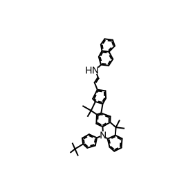 CC(C)(C)c1ccc(N2c3ccccc3C(C)(C)c3cc4c(cc32)C(C)(C)c2cc(/C=C/Nc3ccc5ccccc5c3)ccc2-4)cc1